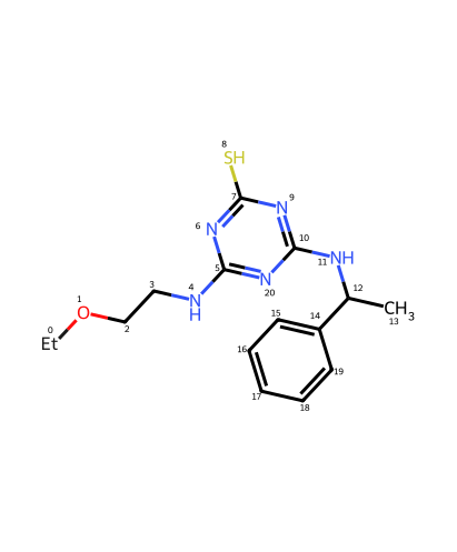 CCOCCNc1nc(S)nc(NC(C)c2ccccc2)n1